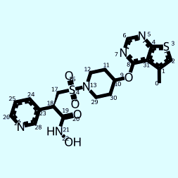 Cc1csc2ncnc(OC3CCN(S(=O)(=O)C[C@@H](C(=O)NO)c4cccnc4)CC3)c12